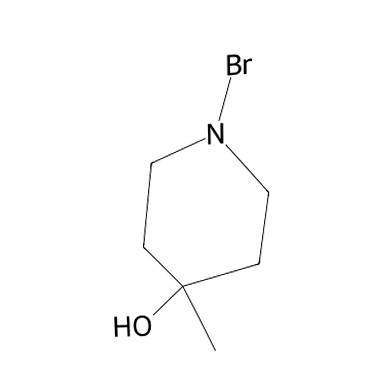 CC1(O)CCN(Br)CC1